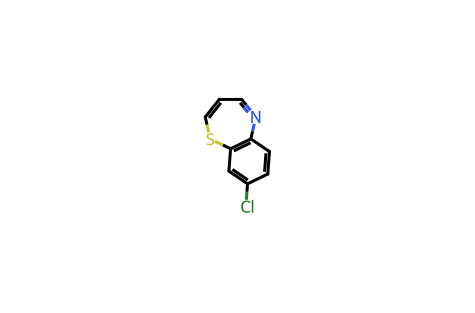 Clc1ccc2c(c1)SC=CC=N2